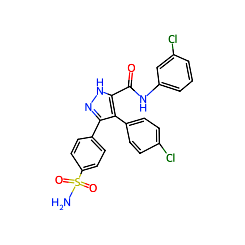 NS(=O)(=O)c1ccc(-c2n[nH]c(C(=O)Nc3cccc(Cl)c3)c2-c2ccc(Cl)cc2)cc1